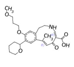 COCCCOc1cc2c(cc1C1CCCCO1)/C(C)=C/C(=O)/C(C(=O)O)=C\NCC2